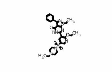 CCOc1ncc(S(=O)(=O)N2CCN(CC)CC2)cc1-c1nc2c(c(-c3ccccc3)nn2CC)c(=O)[nH]1